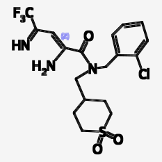 N=C(/C=C(\N)C(=O)N(Cc1ccccc1Cl)CC1CCS(=O)(=O)CC1)C(F)(F)F